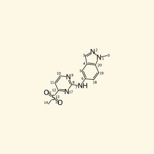 Cn1ncc2cc(Nc3nccc(S(C)(=O)=O)n3)ccc21